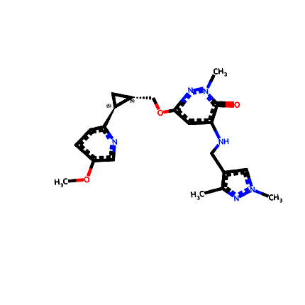 COc1ccc([C@H]2C[C@@H]2COc2cc(NCc3cn(C)nc3C)c(=O)n(C)n2)nc1